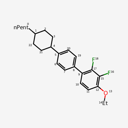 CCCCCC1CCC(c2ccc(-c3ccc(OCC)c(F)c3F)cc2)CC1